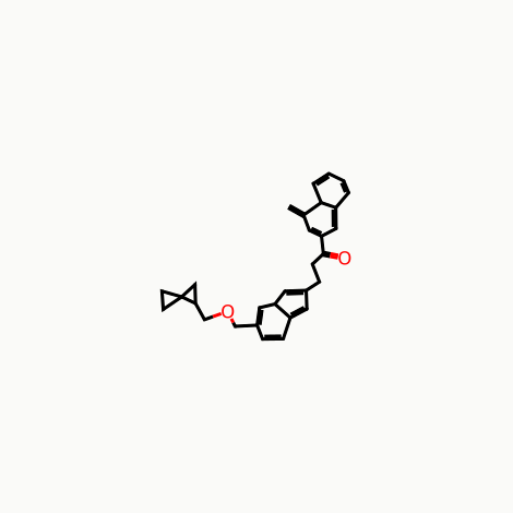 C=C1C=C(C(=O)CCC2=CC3C=C(COCC4CC45CC5)C=CC3=C2)C=C2C=CC=CC12